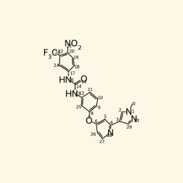 Cn1cc(-c2cc(Oc3cccc(NC(=O)Nc4ccc([N+](=O)[O-])c(C(F)(F)F)c4)c3)ccn2)cn1